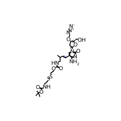 CC(/C=C/c1cn([C@H]2CC(OCN=[N+]=[N-])[C@@H](CO)O2)c(=O)nc1N)CNC(=O)OCCSSCCNC(=O)OC(C)(C)C